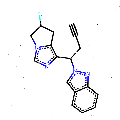 C#CCC(c1ncn2c1CC(F)C2)n1cc2ccccc2n1